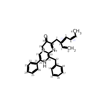 C=C/C(=C\C=C/C)CC1=NC2=C(Cc3ccccc3)NC(c3ccccc3)=CN2CC1=O